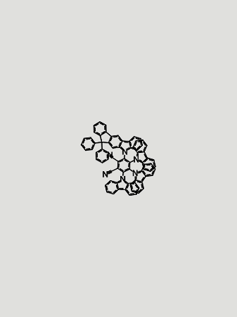 N#Cc1c(C#N)c(-n2c3ccccc3c3cc4c(cc32)C(c2ccccc2)(c2ccccc2)c2ccccc2-4)c(-n2c3ccccc3c3ccccc32)c(-n2c3ccccc3c3ccccc32)c1-n1c2ccccc2c2ccccc21